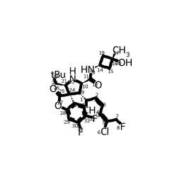 CC(/C=C\C=C(\Cl)CF)[C@H]1[C@H](C(=O)N[C@H]2C[C@@](C)(O)C2)N[C@H](CC(C)(C)C)[C@]12C(=O)Oc1cc(F)c(F)cc12